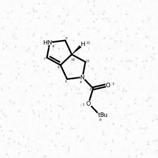 CC(C)(C)OC(=O)N1CC2=CNC[C@@H]2C1